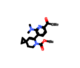 COC(=O)c1ccc(C2=CC3(CCN2C(=O)OC(C)(C)C)CC3)c(N(C)C)n1